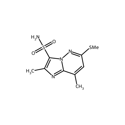 CSc1cc(C)c2nc(C)c(S(N)(=O)=O)n2n1